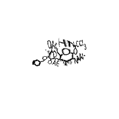 CC(=O)OCC1OC(OC(=N)C(Cl)(Cl)Cl)C(N=[N+]=[N-])[C@@H](C)[C@@H]1O[C@@H]1OC(C)[C@@H](C)[C@@H](OCc2ccccc2)C1OC(C)=O